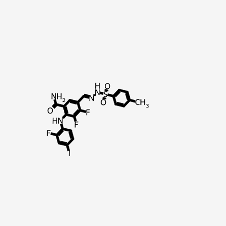 Cc1ccc(S(=O)(=O)N/N=C/c2cc(C(N)=O)c(Nc3ccc(I)cc3F)c(F)c2F)cc1